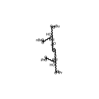 CCCCOC(=O)CCCCC(O)CN(CCCCC(=O)OCCN1CCN(CCSSCCCN(CC(O)CCCCC(=O)OC(C)C)CC(O)CCCCC(=O)OC(C)C)CC1)CC(O)CCCCC(=O)OCCCC